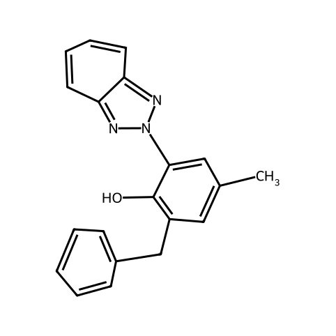 Cc1cc(Cc2ccccc2)c(O)c(-n2nc3ccccc3n2)c1